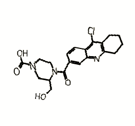 O=C(O)N1CCN(C(=O)c2ccc3c(Cl)c4c(nc3c2)CCCC4)C(CO)C1